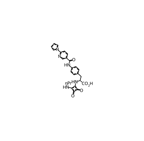 CCCNc1c(N[C@@H](Cc2ccc(NC(=O)c3ccc(-n4cccc4)nc3)cc2)C(=O)O)c(=O)c1=O